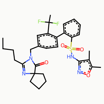 CCCCC1=NC2(CCCC2)C(=O)N1Cc1ccc(-c2ccccc2S(=O)(=O)Nc2noc(C)c2C)c(C(C)(F)F)c1